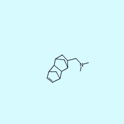 CN(C)CC1CC2CC1C1C3C=CC(C3)C21